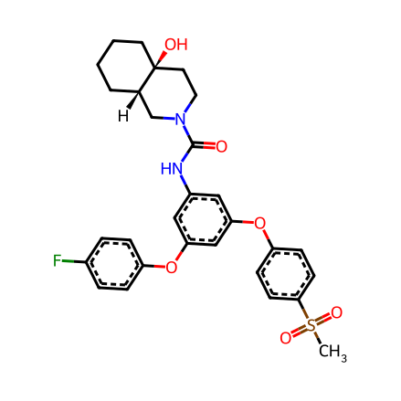 CS(=O)(=O)c1ccc(Oc2cc(NC(=O)N3CC[C@@]4(O)CCCC[C@H]4C3)cc(Oc3ccc(F)cc3)c2)cc1